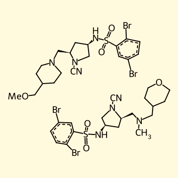 CN(CC1CCOCC1)C[C@H]1C[C@@H](NS(=O)(=O)c2cc(Br)ccc2Br)CN1C#N.COCC1CCN(C[C@H]2C[C@@H](NS(=O)(=O)c3cc(Br)ccc3Br)CN2C#N)CC1